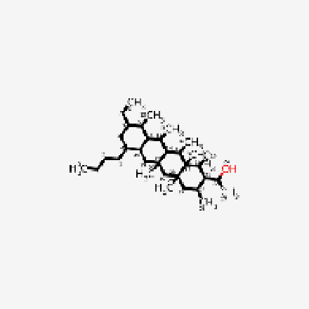 CCCCC1CC(CC)C(C)C2C(C)C3C(C)C4(C)C(C)C(C(C)O)C(C)CC4(C)CC3(C)CC12